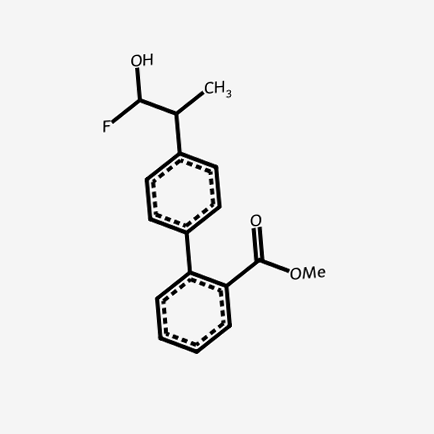 COC(=O)c1ccccc1-c1ccc(C(C)C(O)F)cc1